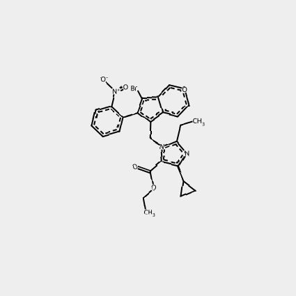 CCOC(=O)c1c(C2CC2)nc(CC)n1Cc1c2ccocc-2c(Br)c1-c1ccccc1[N+](=O)[O-]